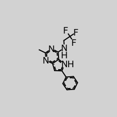 Cc1nc(NCC(F)(F)F)c2[nH]c(-c3ccccc3)cc2n1